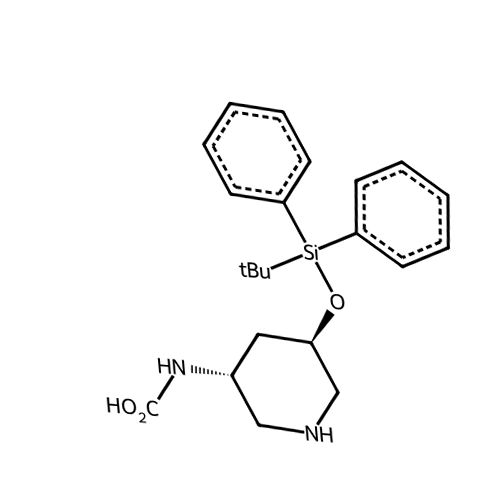 CC(C)(C)[Si](O[C@H]1CNC[C@H](NC(=O)O)C1)(c1ccccc1)c1ccccc1